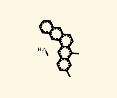 CN.Cc1ccc2cc3c(ccc4cc5ccccc5cc43)c(C)c2c1